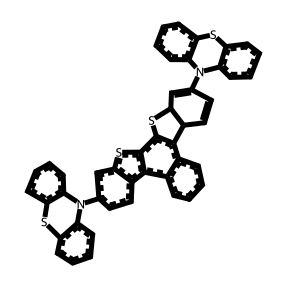 C1=CC2c3c(c4sc5cc(N6c7ccccc7Sc7ccccc76)ccc5c4c4ccccc34)SC2C=C1N1c2ccccc2Sc2ccccc21